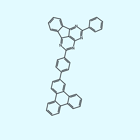 c1ccc(-c2nc3c4c(nc(-c5ccc(-c6ccc7c8ccccc8c8ccccc8c7c6)cc5)nc4n2)-c2ccccc2-3)cc1